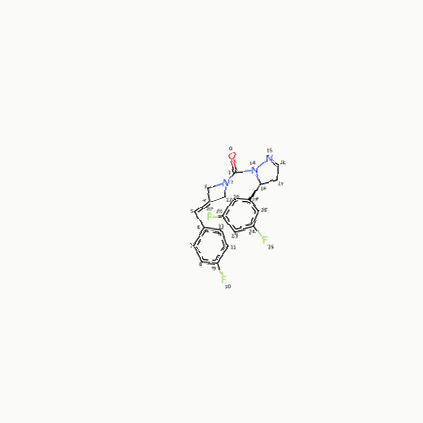 O=C(N1CC(=Cc2ccc(F)cc2)C1)N1N=CC[C@H]1c1cc(F)cc(F)c1